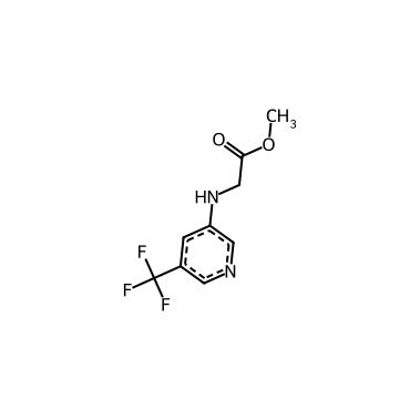 COC(=O)CNc1cncc(C(F)(F)F)c1